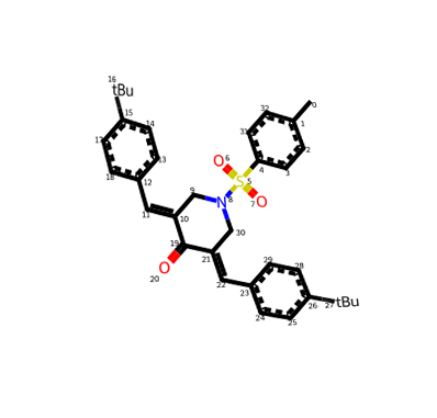 Cc1ccc(S(=O)(=O)N2C/C(=C\c3ccc(C(C)(C)C)cc3)C(=O)/C(=C/c3ccc(C(C)(C)C)cc3)C2)cc1